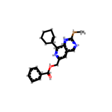 CSc1ncc2cc(COC(=O)c3ccccc3)nc(C3=CCCCC3)c2n1